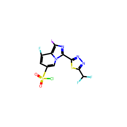 O=S(=O)(Cl)c1cc(F)c2c(I)nc(-c3nnc(C(F)F)s3)n2c1